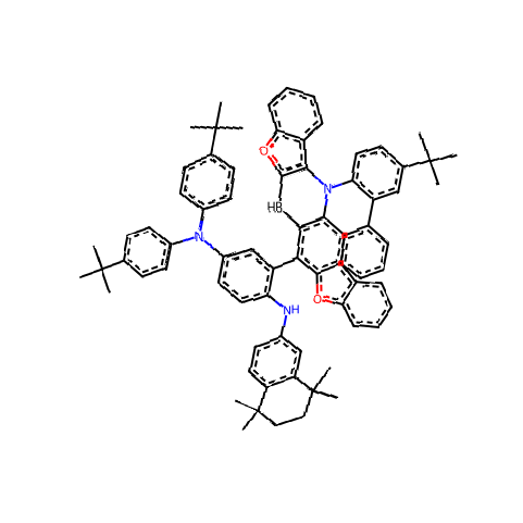 CC(C)(C)c1ccc(N(c2ccc(C(C)(C)C)cc2)c2ccc(Nc3ccc4c(c3)C(C)(C)CCC4(C)C)c(-c3c4c(cc5c3oc3ccccc35)N(c3ccc(C(C)(C)C)cc3-c3ccccc3)c3c(oc5ccccc35)B4)c2)cc1